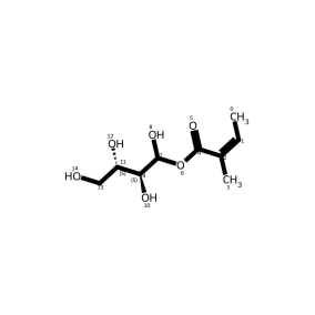 CC=C(C)C(=O)OC(O)[C@@H](O)[C@@H](O)CO